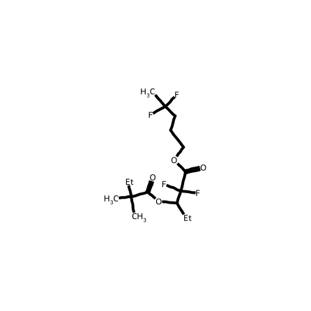 CCC(OC(=O)C(C)(C)CC)C(F)(F)C(=O)OCCCC(C)(F)F